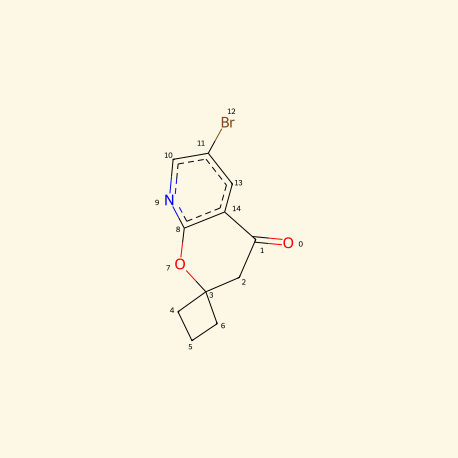 O=C1CC2(CCC2)Oc2ncc(Br)cc21